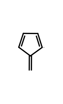 C=C1[C]=CC=C1